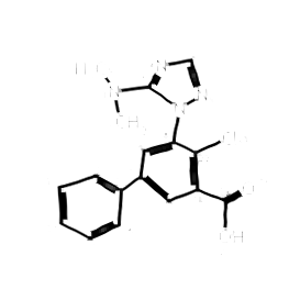 CN(C)c1ncnn1-c1cc(-c2ccccc2)cc(C(=O)O)c1Cl